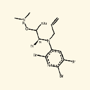 C=CCN(c1cc(Br)c(Br)nc1Br)[C@@H](CC)C(O[SiH](C)C)C(C)(C)C